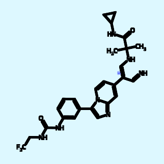 CC(C)(N/C=C(\C=N)c1ccn2c(-c3cccc(NC(=O)NCC(F)(F)F)c3)cnc2c1)C(=O)NC1CC1